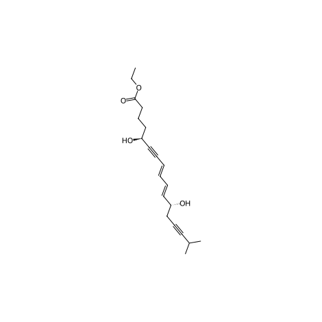 CCOC(=O)CCC[C@H](O)C#C/C=C/C=C/[C@H](O)CC#CC(C)C